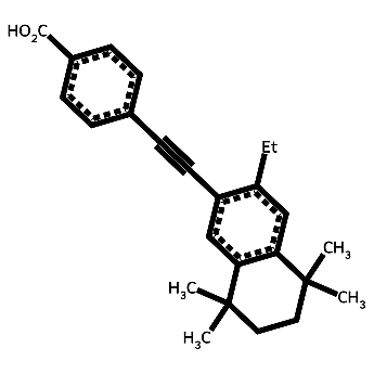 CCc1cc2c(cc1C#Cc1ccc(C(=O)O)cc1)C(C)(C)CCC2(C)C